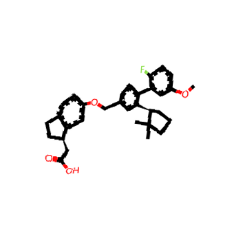 COc1ccc(F)c(-c2ccc(COc3ccc4c(c3)[C@@H](CC(=O)O)CC4)cc2[C@H]2CCCC2(C)C)c1